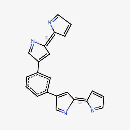 C1=C/C(=C2\C=C(c3cccc(C4=C/C(=C5\C=CC=N5)N=C4)c3)C=N2)N=C1